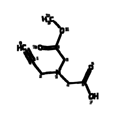 C#CCN(CC(=O)O)CC(=O)OC